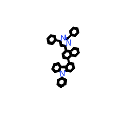 c1ccc(-c2cc(-c3ccc(-c4cccc5c4c4ccccc4n5-c4ccccc4)c4ccccc34)nc(-c3ccccc3)n2)cc1